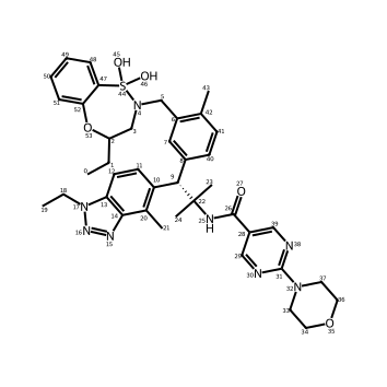 CCC1CN(Cc2cc([C@@H](c3ccc4c(nnn4CC)c3C)C(C)(C)NC(=O)c3cnc(N4CCOCC4)nc3)ccc2C)S(O)(O)c2ccccc2O1